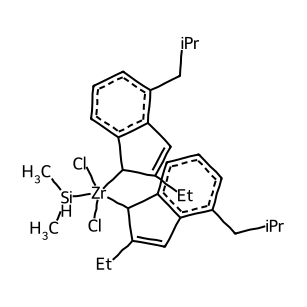 CCC1=Cc2c(CC(C)C)cccc2[CH]1[Zr]([Cl])([Cl])([CH]1C(CC)=Cc2c(CC(C)C)cccc21)[SiH](C)C